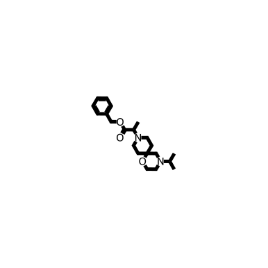 CC(C)N1CCOC2(CCN(C(C)C(=O)OCc3ccccc3)CC2)C1